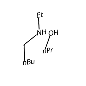 CCCCCNCC.CCCO